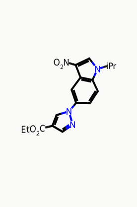 CCOC(=O)c1cnn(-c2ccc3c(c2)c([N+](=O)[O-])cn3C(C)C)c1